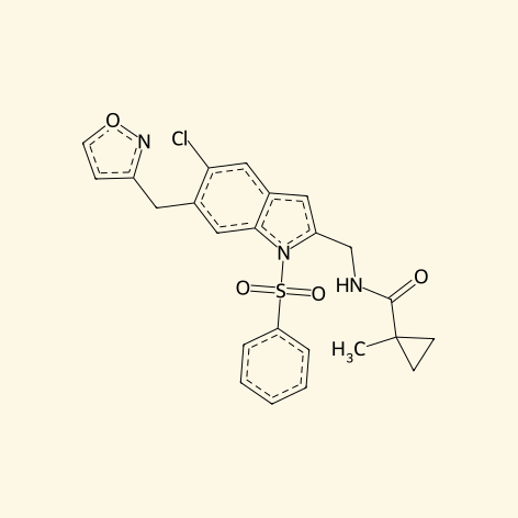 CC1(C(=O)NCc2cc3cc(Cl)c(Cc4ccon4)cc3n2S(=O)(=O)c2ccccc2)CC1